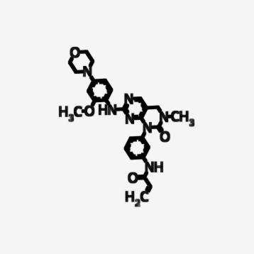 C=CC(=O)Nc1cccc(N2C(=O)N(C)Cc3cnc(Nc4ccc(N5CCOCC5)cc4OC)nc32)c1